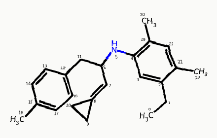 CCc1cc(NC(C=C2CC2)Cc2ccc(C)cc2)c(C)cc1C